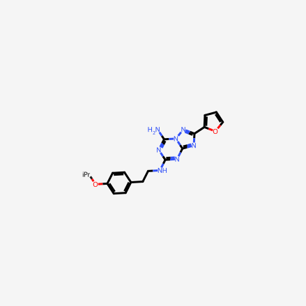 CC(C)Oc1ccc(CCNc2nc(N)n3nc(-c4ccco4)nc3n2)cc1